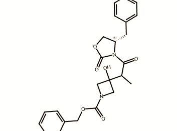 CC(C(=O)N1C(=O)OC[C@@H]1Cc1ccccc1)C1(O)CN(C(=O)OCc2ccccc2)C1